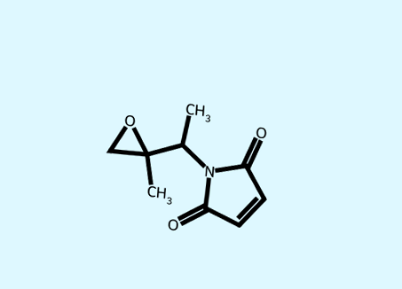 CC(N1C(=O)C=CC1=O)C1(C)CO1